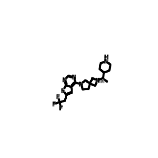 C[C@H](C1CCNCC1)N1CC2(CCN(c3ncnc4sc(CC(F)(F)F)cc34)C2)C1